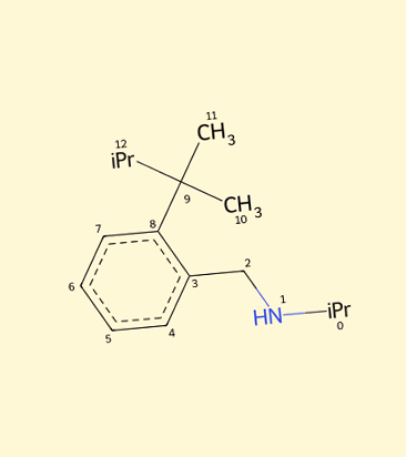 CC(C)NCc1ccccc1C(C)(C)C(C)C